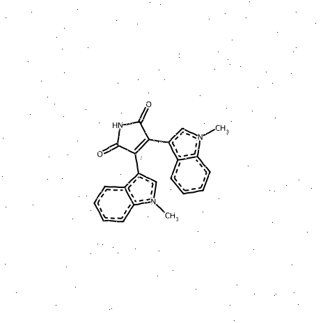 Cn1cc(C2=C(c3cn(C)c4ccccc34)C(=O)NC2=O)c2ccccc21